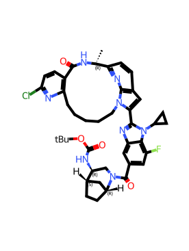 C[C@H]1NC(=O)c2ccc(Cl)nc2CCCCCn2c(-c3nc4cc(C(=O)N5C[C@H](NC(=O)OC(C)(C)C)[C@H]6CC[C@@H]5C6)cc(F)c4n3C3CC3)cc3ccc1nc32